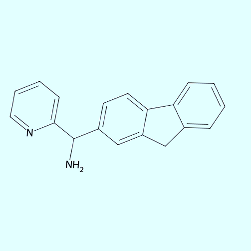 NC(c1ccc2c(c1)Cc1ccccc1-2)c1ccccn1